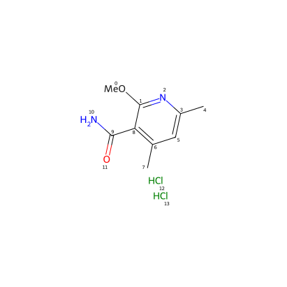 COc1nc(C)cc(C)c1C(N)=O.Cl.Cl